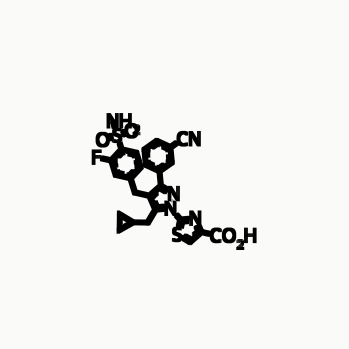 N#Cc1cccc(-c2nn(-c3nc(C(=O)O)cs3)c(CC3CC3)c2Cc2ccc(S(N)(=O)=O)c(F)c2)c1